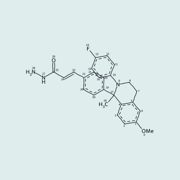 COc1ccc2c(c1)CCN(c1ccc(F)cc1)C2(C)c1ccc(/C=C/C(=O)NN)cc1